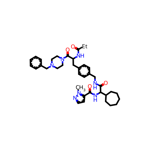 CCC(=O)NC(Cc1ccc(CNC(=O)C(NC(=O)c2ccnn2C)C2CCCCCC2)cc1)C(=O)N1CCN(Cc2ccccc2)CC1